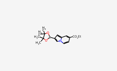 CCOC(=O)c1ccn2cc(B3OC(C)(C)C(C)(C)O3)cc2c1